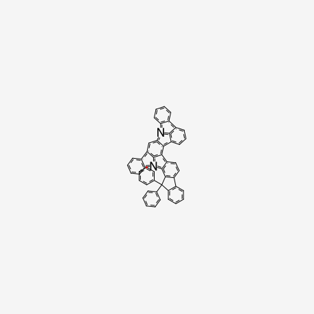 c1ccc(C2(c3ccccc3)c3ccccc3-c3ccc4c5c6c7cccc8c9ccccc9n(c6cc6c9ccccc9n(c4c32)c65)c87)cc1